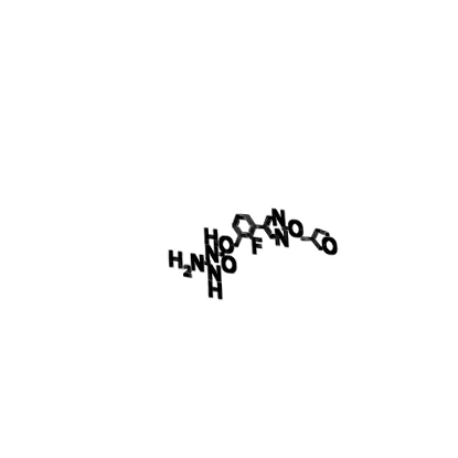 N=C(N)NC(=O)OCc1cccc(-c2cnc(OCC3CCOC3)nc2)c1F